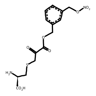 N[C@@H](CSCC(=O)C(=O)OCc1cccc(CO[N+](=O)[O-])c1)C(=O)O